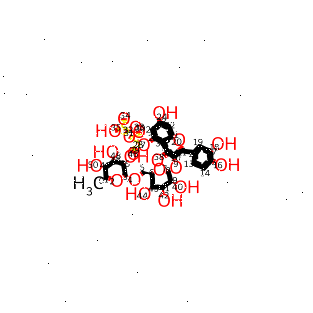 C[C@@H]1O[C@@H](OC[C@H]2O[C@@H](Oc3c(-c4ccc(O)c(O)c4)oc4cc(O)cc(OS(=O)(=O)OS(=O)(=O)O)c4c3=O)[C@H](O)[C@@H](O)[C@@H]2O)[C@H](O)[C@H](O)[C@H]1O